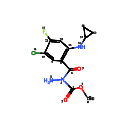 CC(C)(C)OC(=O)N(N)C(=O)c1cc(Cl)c(F)cc1NC1CC1